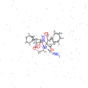 NCC[N+]1(C2(NC(=O)c3ccccc3)C(=O)c3ccccc3C2=O)CCOCC1